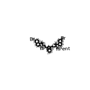 CCCCCN1/C(=C/C=C2C=C(/C=C/C3=[N+](CCCCC)c4ccc5cc(Br)ccc5c4C3(C)C)c3ccccc3/2)C(C)(C)c2c1ccc1cc(Br)ccc21